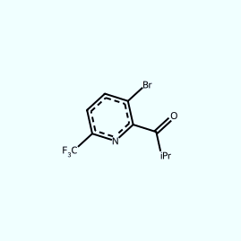 CC(C)C(=O)c1nc(C(F)(F)F)ccc1Br